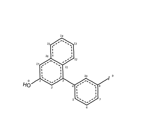 Oc1cc(-c2cccc(I)c2)c2ccccc2c1